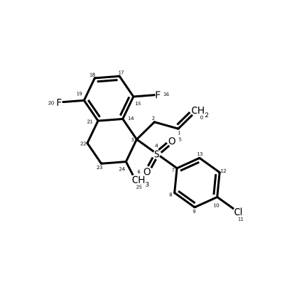 C=CCC1(S(=O)(=O)c2ccc(Cl)cc2)c2c(F)ccc(F)c2CCC1C